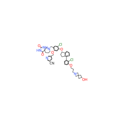 N#Cc1cncc(COc2cc(O[C@H]3CCc4c(-c5cccc(OCCCN6CC7(CC(O)C7)C6)c5Cl)cccc43)c(Cl)cc2CN2CCCC3(C2)NC(=O)NC3=O)c1